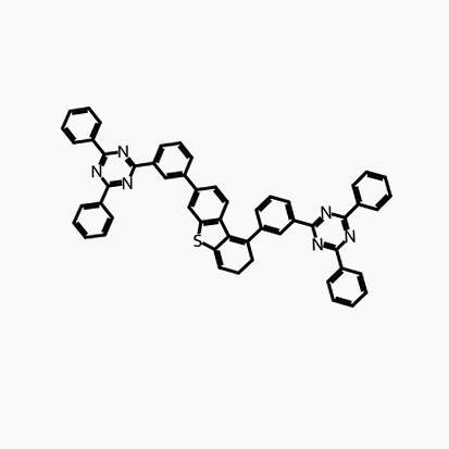 C1=c2sc3cc(-c4cccc(-c5nc(-c6ccccc6)nc(-c6ccccc6)n5)c4)ccc3c2=C(c2cccc(-c3nc(-c4ccccc4)nc(-c4ccccc4)n3)c2)CC1